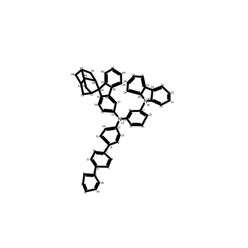 c1ccc(-c2ccc(-c3ccc(N(c4cccc(-n5c6ccccc6c6ccccc65)c4)c4ccc5c(c4)-c4ccccc4C54C5CC6CC(C5)CC4C6)cc3)cc2)cc1